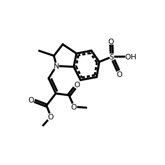 COC(=O)C(=CN1c2ccc(S(=O)(=O)O)cc2CC1C)C(=O)OC